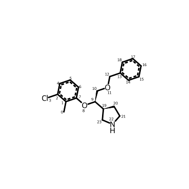 Cc1c(Cl)cccc1O[C@@H](COCc1ccccc1)[C@H]1CCNC1